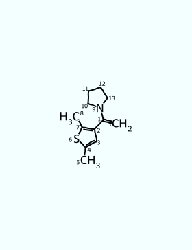 C=C(c1cc(C)sc1C)N1CCCC1